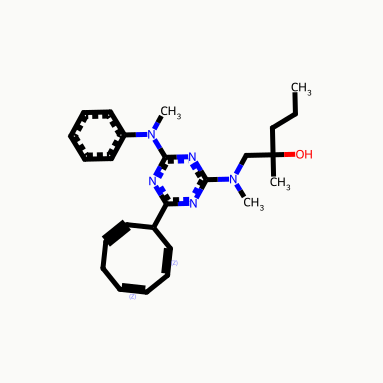 CCCC(C)(O)CN(C)c1nc(C2C#CC/C=C\C=C/2)nc(N(C)c2ccccc2)n1